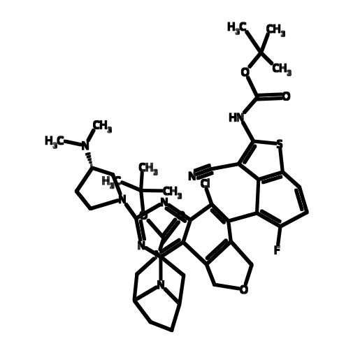 CN(C)[C@H]1CCN(c2nc(N3C4CCC3CN(C(=O)OC(C)(C)C)C4)c3c4c(c(-c5c(F)ccc6sc(NC(=O)OC(C)(C)C)c(C#N)c56)c(Cl)c3n2)COC4)C1